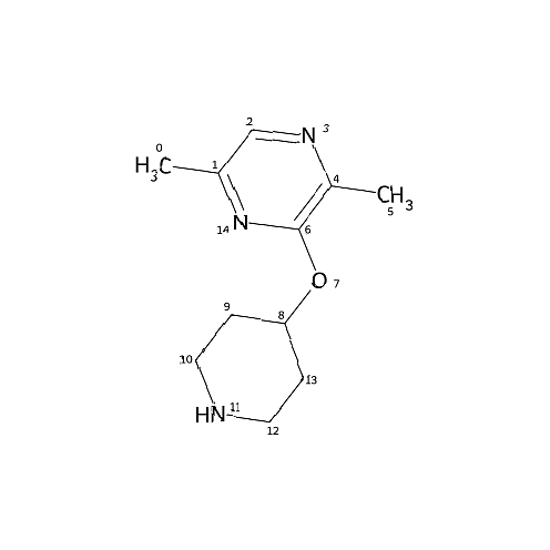 Cc1cnc(C)c(OC2CCNCC2)n1